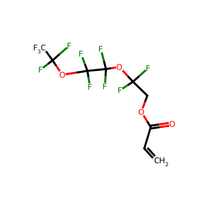 C=CC(=O)OCC(F)(F)OC(F)(F)C(F)(F)OC(F)(F)C(F)(F)F